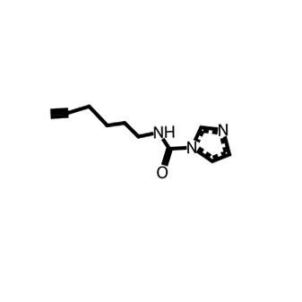 C#CCCCCNC(=O)n1ccnc1